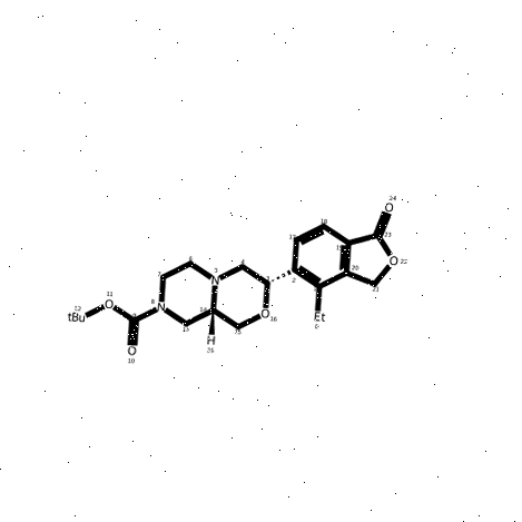 CCc1c([C@H]2CN3CCN(C(=O)OC(C)(C)C)C[C@H]3CO2)ccc2c1COC2=O